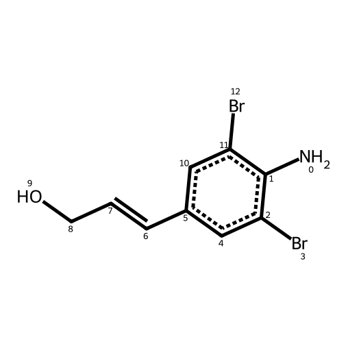 Nc1c(Br)cc(C=CCO)cc1Br